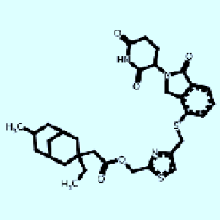 CCC1(CC(=O)OCc2nc(CSc3cccc4c3CN(C3CCC(=O)NC3=O)C4=O)cs2)CC2CC(C)CC(C2)C1